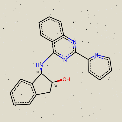 O[C@H]1Cc2ccccc2[C@H]1Nc1nc(-c2ccccn2)nc2ccccc12